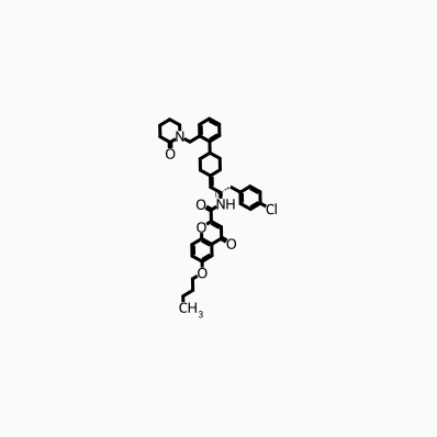 CCCCOc1ccc2oc(C(=O)N[C@H](C=C3CCC(c4ccccc4CN4CCCCC4=O)CC3)Cc3ccc(Cl)cc3)cc(=O)c2c1